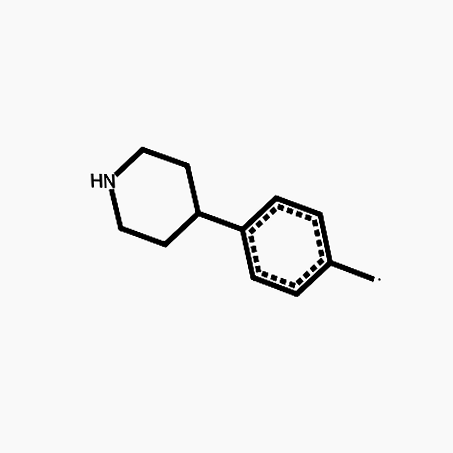 [CH2]c1ccc(C2CCNCC2)cc1